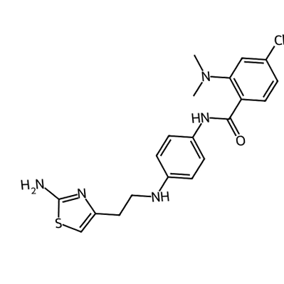 CN(C)c1cc(Cl)ccc1C(=O)Nc1ccc(NCCc2csc(N)n2)cc1